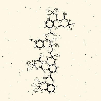 CCC1(CC)CC(=O)N([C@@H]2CC(C)(C)Oc3ccc(C(=O)N[C@@H]4c5cc(F)ccc5OC(C)(CCC5(C)C[C@@H](N6C(=N)NC(C)(C)CC6=O)c6cc(C(=O)N[C@@H]7c8ccccc8OC(C)(C)[C@H]7O)ccc6O5)[C@H]4O)cc32)C(=N)N1